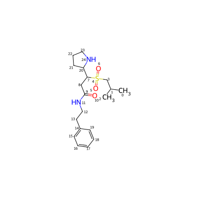 CC(C)CS(=O)(=O)C(CC(=O)NCCc1ccccc1)C1CCCN1